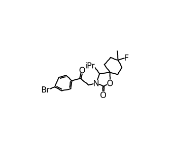 CC(C)C1N(CC(=O)c2ccc(Br)cc2)C(=O)OC12CCC(C)(F)CC2